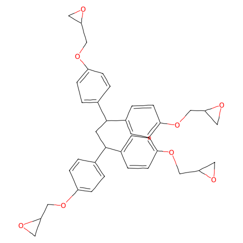 c1cc(C(CC(c2ccc(OCC3CO3)cc2)c2ccc(OCC3CO3)cc2)c2ccc(OCC3CO3)cc2)ccc1OCC1CO1